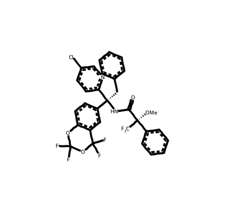 CO[C@](C(=O)N[C@@](Cc1ccccc1)(c1ccc2c(c1)C(F)(F)OC(F)(F)O2)c1ccc(Cl)cn1)(c1ccccc1)C(F)(F)F